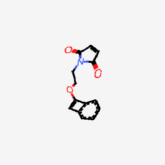 O=C1C=CC(=O)N1CCOC1=Cc2ccccc21